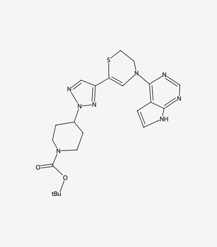 CC(C)(C)OC(=O)N1CCC(n2ncc(C3=CN(c4ncnc5[nH]ccc45)CCS3)n2)CC1